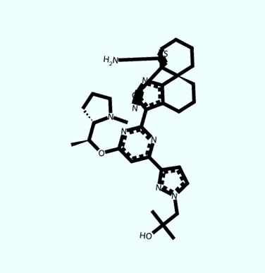 C[C@H](Oc1cc(-c2ccn(CC(C)(C)O)n2)nc(-c2onc3c2CCC[C@@]32CCCc3sc(N)c(C#N)c32)n1)[C@@H]1CCCN1C